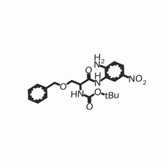 CC(C)(C)OC(=O)NC(COCc1ccccc1)C(=O)Nc1cc([N+](=O)[O-])ccc1N